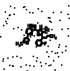 C=C/C=C(/c1ccccc1F)c1nc(-c2n[nH]c3ccc(-c4cnn(C)c4)nc23)[nH]c1C